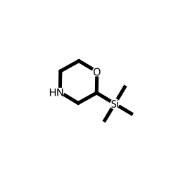 C[Si](C)(C)C1CNCCO1